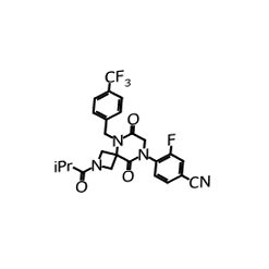 CC(C)C(=O)N1CC2(C1)C(=O)N(c1ccc(C#N)cc1F)CC(=O)N2Cc1ccc(C(F)(F)F)cc1